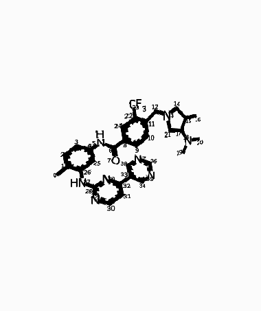 Cc1ccc(NC(=O)c2ccc(CN3CC(C)C(N(C)C)C3)c(C(F)(F)F)c2)cc1Nc1nccc(-c2cncnc2)n1